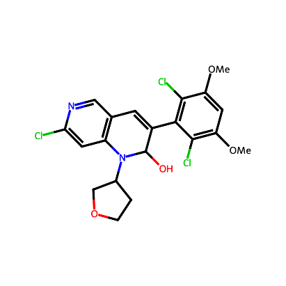 COc1cc(OC)c(Cl)c(C2=Cc3cnc(Cl)cc3N(C3CCOC3)C2O)c1Cl